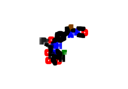 CC(C)C[C@H](NC(=O)c1ccc(-c2csc(N3CCOCC3)n2)cc1)C(=O)N1C[C@H](F)[C@H]2OCC(=O)[C@H]21